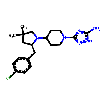 CC1(C)C[C@H](Cc2ccc(Cl)cc2)N(C2CCN(c3n[nH]c(N)n3)CC2)C1